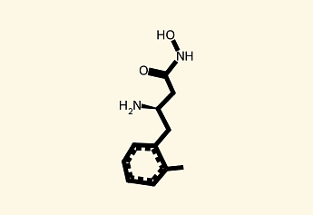 Cc1ccccc1C[C@@H](N)CC(=O)NO